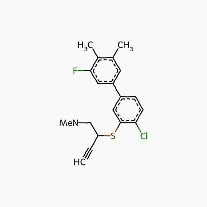 C#CC(CNC)Sc1cc(-c2cc(C)c(C)c(F)c2)ccc1Cl